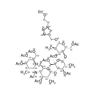 CCOCCn1cc(CO[C@@H]2O[C@H](COC(C)=O)[C@@H](O[C@H]3O[C@H](COC(C)=O)[C@@H](O[C@H]4O[C@H](C)[C@@H](N(C(C)=O)[C@H]5C=C(COC(C)=O)[C@@H](OC(C)=O)[C@H](OC(C)=O)[C@H]5C)[C@H](OC(C)=O)[C@H]4C)[C@H](OC(C)=O)[C@H]3C)[C@H](OC(C)=O)[C@H]2C)nn1